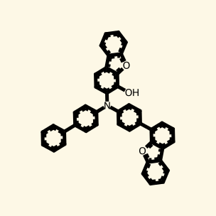 Oc1c(N(c2ccc(-c3ccccc3)cc2)c2ccc(-c3cccc4c3oc3ccccc34)cc2)ccc2c1oc1ccccc12